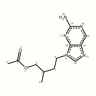 CC(=O)OCC(C)CCn1cnc2cnc(N)nc21